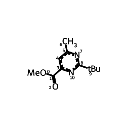 COC(=O)c1cc(C)nc(C(C)(C)C)n1